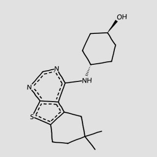 CC1(C)CCc2sc3ncnc(N[C@H]4CC[C@H](O)CC4)c3c2C1